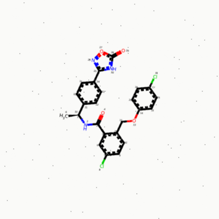 C[C@H](NC(=O)c1cc(Cl)ccc1COc1ccc(Cl)cc1)c1ccc(-c2noc(=O)[nH]2)cc1